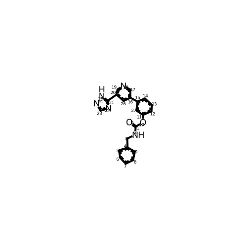 O=C(NCc1ccccc1)Oc1cccc(-c2cncc(-c3ncn[nH]3)c2)c1